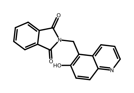 O=C1c2ccccc2C(=O)N1Cc1c(O)ccc2ncccc12